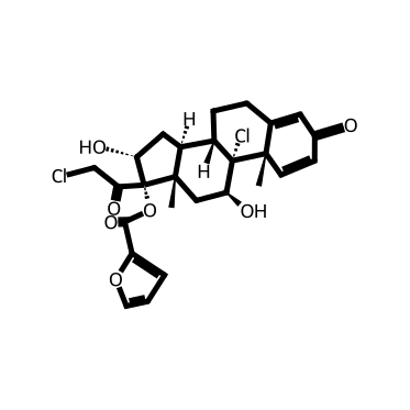 C[C@]12C=CC(=O)C=C1CC[C@H]1[C@@H]3C[C@@H](O)[C@](OC(=O)c4ccco4)(C(=O)CCl)[C@@]3(C)C[C@H](O)[C@@]12Cl